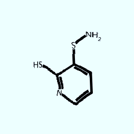 NSc1cccnc1S